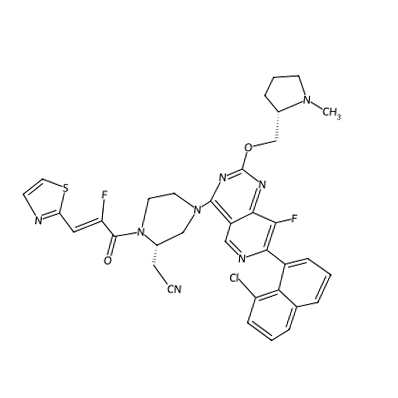 CN1CCC[C@H]1COc1nc(N2CCN(C(=O)/C(F)=C/c3nccs3)[C@@H](CC#N)C2)c2cnc(-c3cccc4cccc(Cl)c34)c(F)c2n1